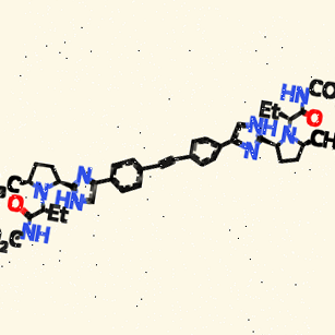 CC[C@@H](C(=O)NC(=O)O)N1[C@@H](C)CC[C@H]1c1nc(-c2ccc(C#Cc3ccc(-c4c[nH]c([C@@H]5CC[C@H](C)N5[C@@H](CC)C(=O)NC(=O)O)n4)cc3)cc2)c[nH]1